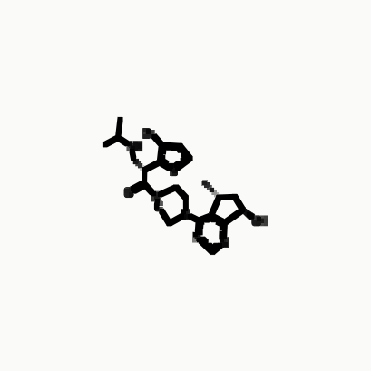 CC(C)NC[C@@H](C(=O)N1CCN(c2ncnc3c2[C@H](C)C[C@H]3O)CC1)c1sccc1Br